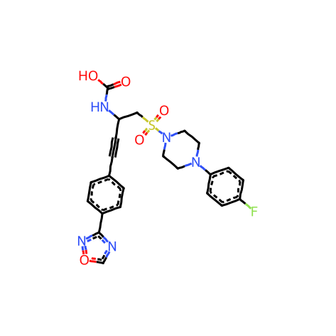 O=C(O)NC(C#Cc1ccc(-c2ncon2)cc1)CS(=O)(=O)N1CCN(c2ccc(F)cc2)CC1